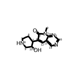 Cn1c(=O)c(C2CCNCC2O)cc2cncnc21